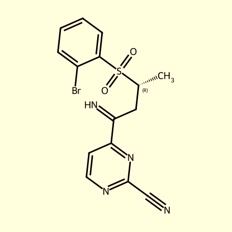 C[C@H](CC(=N)c1ccnc(C#N)n1)S(=O)(=O)c1ccccc1Br